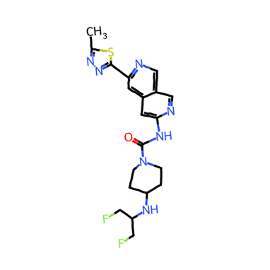 Cc1nnc(-c2cc3cc(NC(=O)N4CCC(NC(CF)CF)CC4)ncc3cn2)s1